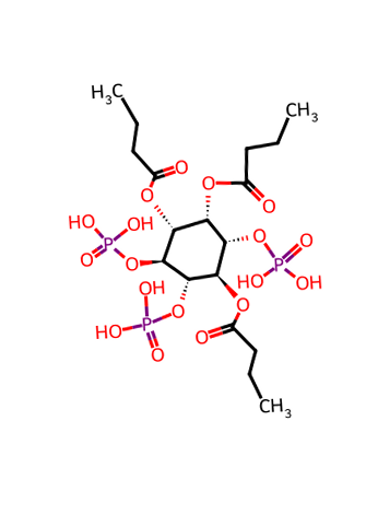 CCCC(=O)O[C@@H]1[C@H](OC(=O)CCC)[C@H](OP(=O)(O)O)[C@@H](OC(=O)CCC)[C@H](OP(=O)(O)O)[C@H]1OP(=O)(O)O